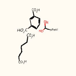 CCCCCC(O)O.O=C(O)CCCCC(=O)O.O=C(O)c1cccc(C(=O)O)c1